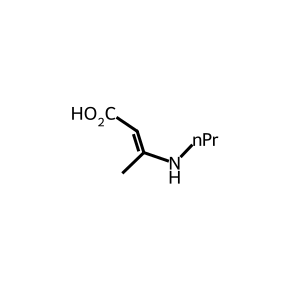 CCCNC(C)=CC(=O)O